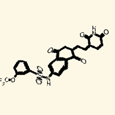 O=C1CCC(CCC2CC(=O)c3cc(NS(=O)(=O)c4cccc(OC(F)(F)F)c4)ccc3C2=O)C(=O)N1